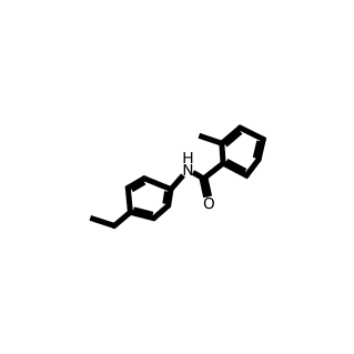 CCc1ccc(NC(=O)c2ccccc2C)cc1